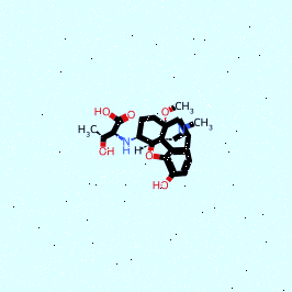 CO[C@@]12CC[C@@H](N[C@H](C(=O)O)[C@@H](C)O)[C@@H]3Oc4c(O)ccc5c4[C@@]31CCN(C)C2C5